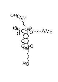 CNCCCCOP(=O)(OCCCCNC=O)c1cc2cc(C(=O)NCCCCCO)c(=O)oc2cc1OC(=O)C(C)(C)C